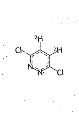 [2H]c1c(Cl)nnc(Cl)c1[2H]